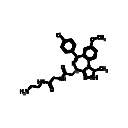 COc1ccc2c(c1)C(c1ccc(Cl)cc1)=N[C@@H](CC(=O)NCC(=O)NCCN)C1=NNC(C)N12